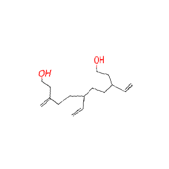 C=CC(CCO)CCC(C=C)CCC(=C)CCO